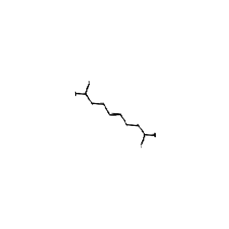 IC(I)CCCCCCC(I)I